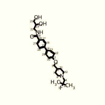 CC(C)(F)CN1CCC(COc2ccc(-c3ccc(C(=O)NCC(O)CO)cc3)cc2)CC1